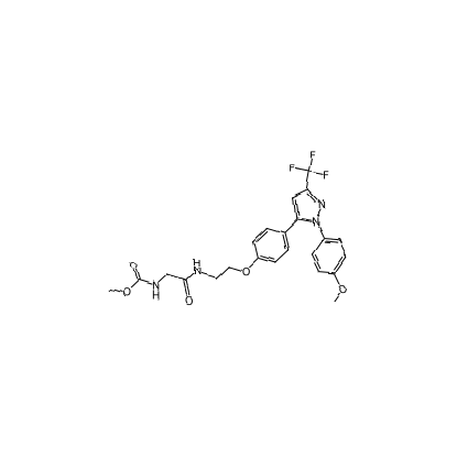 COC(=O)NCC(=O)NCCOc1ccc(-c2cc(C(F)(F)F)nn2-c2ccc(OC)cc2)cc1